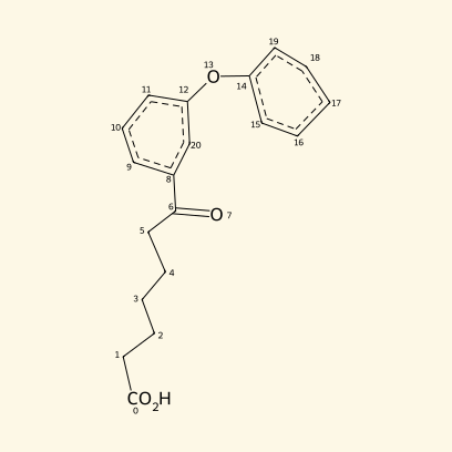 O=C(O)CCCCCC(=O)c1cccc(Oc2ccccc2)c1